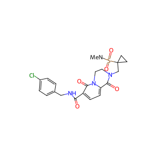 CNS(=O)(=O)C1(CN2CCn3c(ccc(C(=O)NCc4ccc(Cl)cc4)c3=O)C2=O)CC1